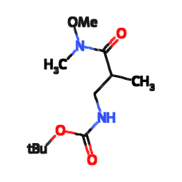 CON(C)C(=O)C(C)CNC(=O)OC(C)(C)C